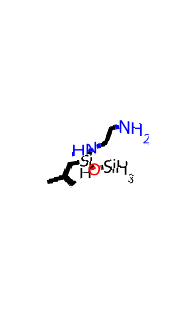 CC(C)C[SiH](NCCN)O[SiH3]